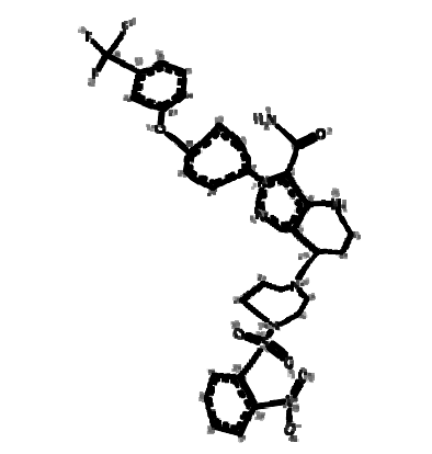 NC(=O)c1c2c(nn1-c1ccc(Oc3cccc(C(F)(F)F)c3)cc1)[C@H](N1CCN(S(=O)(=O)c3ccccc3[N+](=O)[O-])CC1)CCN2